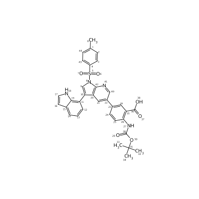 Cc1ccc(S(=O)(=O)n2cc(-c3cccc4cc[nH]c34)c3cc(-c4ccc(NC(=O)OC(C)(C)C)c(C(=O)O)c4)cnc32)cc1